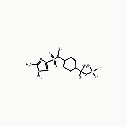 CCN(C1CCC(C(O[Si](CC)(CC)CC)(C(F)(F)F)C(F)(F)F)CC1)S(=O)(=O)c1cn(C)c(C)n1